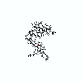 CC(C)c1ccc(N(c2ccc3cc4c(cc3c2)oc2ccc3oc5cc6cc(N(c7ccc(C(C)C)cc7)c7c(-c8ccccc8)ccc8c7oc7ccccc78)ccc6cc5c3c24)c2c(-c3ccccc3)ccc3c2oc2ccccc23)cc1